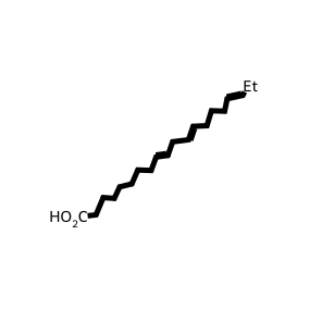 CCC=CCCCC=CCC=CCCCCCCCC(=O)O